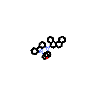 c1ccc(N(c2cc3ccc4ccccc4c3c3ccccc23)c2cccc3c4ccccc4n(-c4ccccc4)c23)cc1